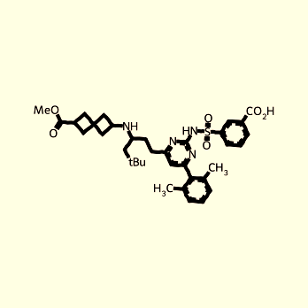 COC(=O)C1CC2(CC(NC(CCc3cc(-c4c(C)cccc4C)nc(NS(=O)(=O)c4cccc(C(=O)O)c4)n3)CC(C)(C)C)C2)C1